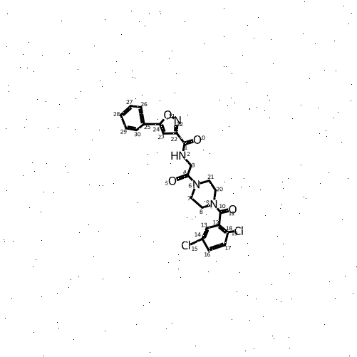 O=C(NCC(=O)N1CCN(C(=O)c2cc(Cl)ccc2Cl)CC1)c1cc(-c2ccccc2)on1